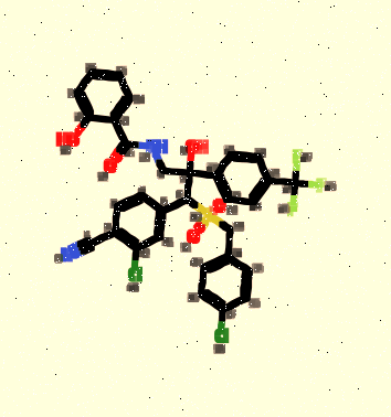 N#Cc1ccc(C(C(O)(CNC(=O)c2ccccc2O)c2ccc(C(F)(F)F)cc2)S(=O)(=O)Cc2ccc(Cl)cc2)cc1Cl